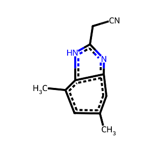 Cc1cc(C)c2[nH]c(CC#N)nc2c1